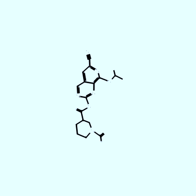 CC(C)Nc1nc(C#N)cc2cnc(NC(=O)C3CCCN(C(=O)O)C3)nc12